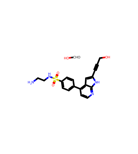 NCCNS(=O)(=O)c1ccc(-c2ccnc3[nH]c(C#CCO)cc23)cc1.O=CO